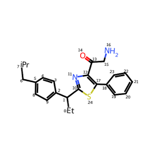 CCC(c1ccc(CC(C)C)cc1)c1nc(C(=O)CN)c(-c2ccccc2)s1